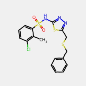 Cc1c(Cl)cccc1S(=O)(=O)Nc1nnc(CSCc2ccccc2)s1